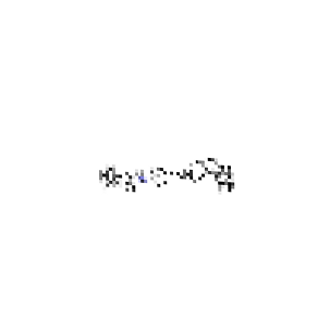 Cc1nc(CC(=O)/N=C/C2CCC(CCN3CCc4ccc(O[C@H](C)C(F)(F)F)nc4CC3)CC2)nn1C